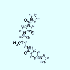 CC(CCNC(=O)c1ccc(N2CCCC2)cc1)CC(=O)N1CCC2C1C(=O)CN2C(=O)N1CCCC1